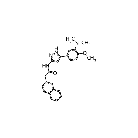 COc1ccc(-c2cc(NC(=O)Cc3ccc4ccccc4c3)n[nH]2)cc1N(C)C